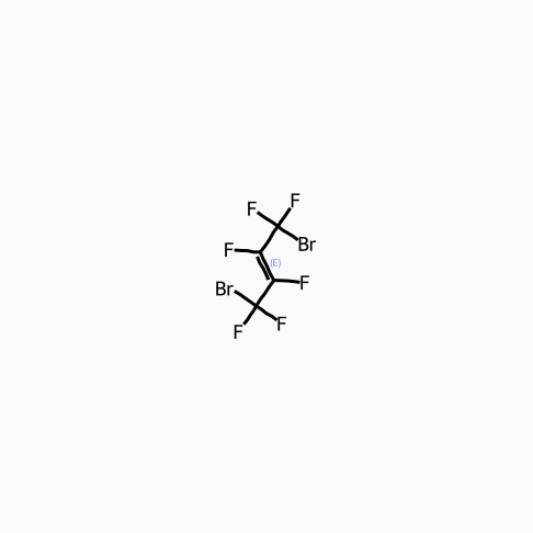 F/C(=C(/F)C(F)(F)Br)C(F)(F)Br